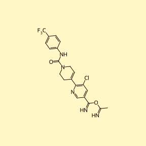 CC(=N)OC(=N)c1cnc(C2=CCN(C(=O)Nc3ccc(C(F)(F)F)cc3)CC2)c(Cl)c1